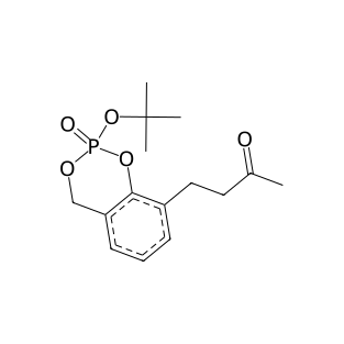 CC(=O)CCc1cccc2c1OP(=O)(OC(C)(C)C)OC2